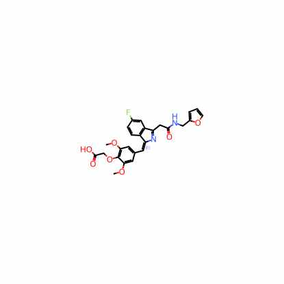 COc1cc(/C=C2/N=C(CC(=O)NCc3ccco3)c3cc(F)ccc32)cc(OC)c1OCC(=O)O